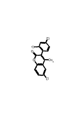 Cc1c(-c2ccc(Cl)cc2Cl)c(=O)oc2ccc(Cl)cc12